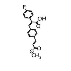 COC(=O)C=Cc1ccc(C=C(C(=O)O)c2ccc(F)cc2)cc1